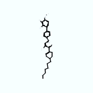 CCCCCCCC1CC=C(c2ccc(-c3ccc(-c4ccc(OC)c(F)c4F)cc3)cc2F)CC1